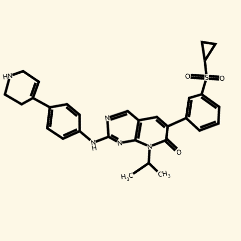 CC(C)n1c(=O)c(-c2cccc(S(=O)(=O)C3CC3)c2)cc2cnc(Nc3ccc(C4=CCNCC4)cc3)nc21